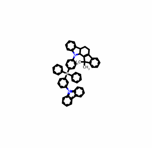 CC1(C)C2=C(CCC3c4ccccc4N(c4ccc([Si](c5ccccc5)(c5ccccc5)c5cccc(-n6c7ccccc7c7ccccc76)c5)cc4)C23)c2ccccc21